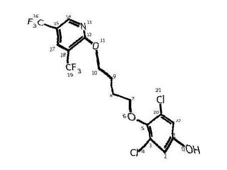 Oc1cc(Cl)c(OCCCCOc2ncc(C(F)(F)F)cc2C(F)(F)F)c(Cl)c1